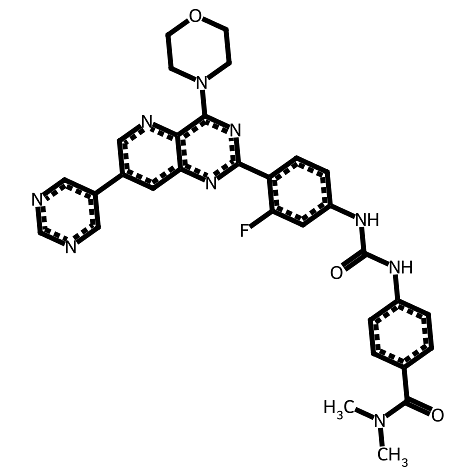 CN(C)C(=O)c1ccc(NC(=O)Nc2ccc(-c3nc(N4CCOCC4)c4ncc(-c5cncnc5)cc4n3)c(F)c2)cc1